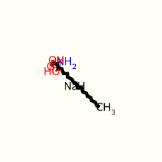 CCCCCCCCCCCCCCCCC[C@@H](O)[C@H](N)C(=O)O.[NaH]